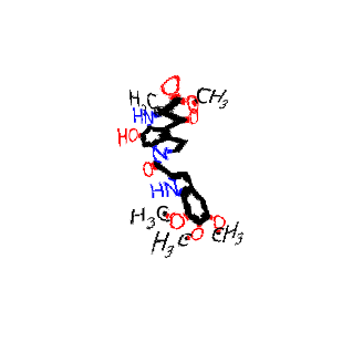 COC(=O)[C@]1(C)Nc2c(O)cc3c(c2C1=O)CCN3C(=O)c1cc2cc(OC)c(OC)c(OC)c2[nH]1